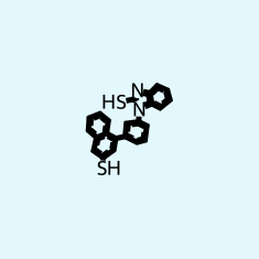 Sc1cc(-c2cccc(-n3c(S)nc4ccccc43)c2)c2ccccc2c1